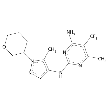 Cc1nc(Nc2cnn(C3CCCOC3)c2C)nc(N)c1C(F)(F)F